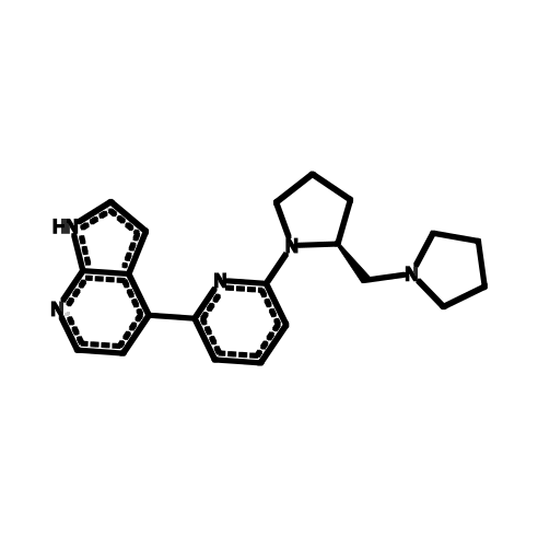 c1cc(-c2ccnc3[nH]ccc23)nc(N2CCC[C@H]2CN2CCCC2)c1